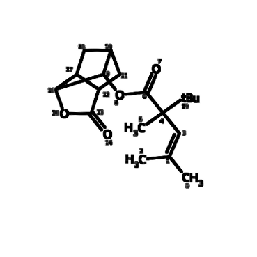 CC(C)=CC(C)(C(=O)OC1C2CC3C(=O)OC1C3C2)C(C)(C)C